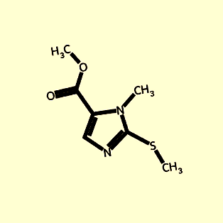 COC(=O)c1cnc(SC)n1C